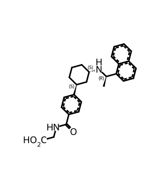 C[C@@H](N[C@H]1CCC[C@H](c2ccc(C(=O)NCC(=O)O)cc2)C1)c1cccc2ccccc12